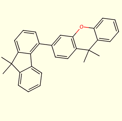 CC1(C)c2ccccc2Oc2cc(-c3cccc4c3-c3ccccc3C4(C)C)ccc21